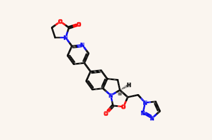 O=C1OCCN1c1ccc(-c2ccc3c(c2)C[C@H]2C(Cn4ccnn4)OC(=O)N32)cn1